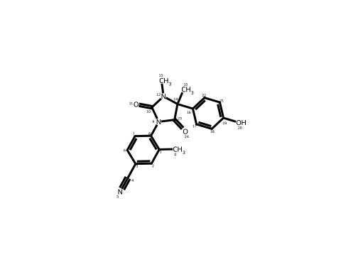 Cc1cc(C#N)ccc1N1C(=O)N(C)C(C)(c2ccc(O)cc2)C1=O